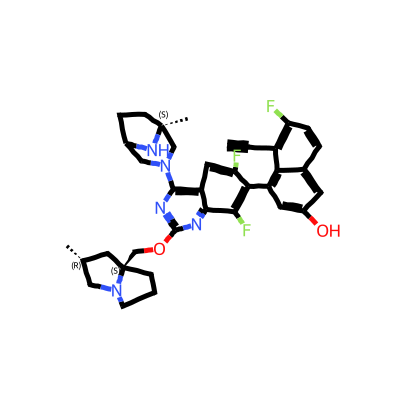 C#Cc1c(F)ccc2cc(O)cc(-c3c(F)cc4c(N5CC6CC[C@@](C)(C5)N6)nc(OC[C@@]56CCCN5C[C@H](C)C6)nc4c3F)c12